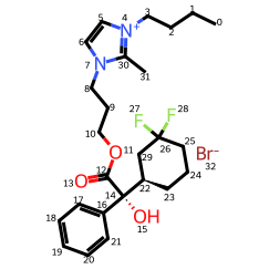 CCCC[n+]1ccn(CCCOC(=O)[C@](O)(c2ccccc2)[C@@H]2CCCC(F)(F)C2)c1C.[Br-]